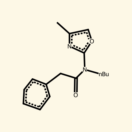 CCCCN(C(=O)Cc1ccccc1)c1nc(C)co1